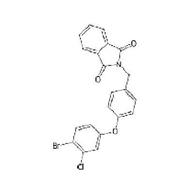 O=C1c2ccccc2C(=O)N1Cc1ccc(Oc2ccc(Br)c(Cl)c2)cc1